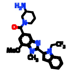 COc1cc(C(=O)N2CCCC(N)C2)cc2nc(-c3cc4ccccc4n3CC(F)(F)F)n(C)c12